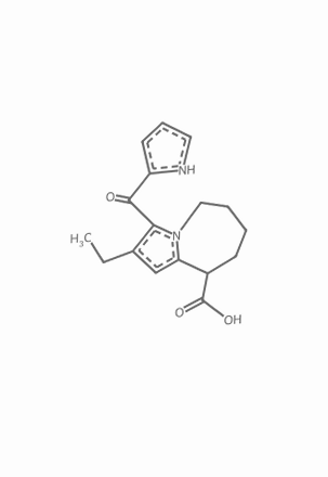 CCc1cc2n(c1C(=O)c1ccc[nH]1)CCCCC2C(=O)O